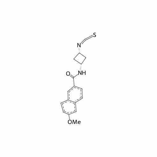 COc1ccc2cc(C(=O)N[C@H]3C[C@@H](N=C=S)C3)ccc2c1